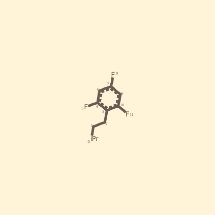 CC(C)CCc1c(F)cc(F)cc1F